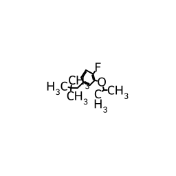 CC(C)Oc1cc(CC(C)(C)C)ccc1F